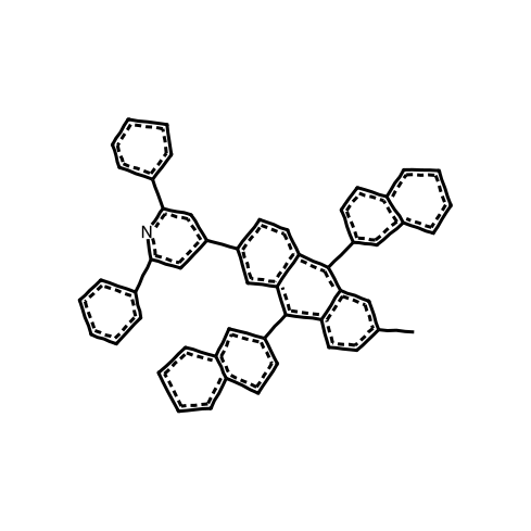 Cc1ccc2c(-c3ccc4ccccc4c3)c3cc(-c4cc(-c5ccccc5)nc(-c5ccccc5)c4)ccc3c(-c3ccc4ccccc4c3)c2c1